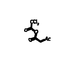 CC(=O)CC(=O)OC(=O)C(Cl)(Cl)Cl